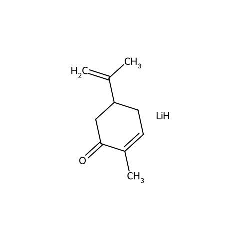 C=C(C)C1CC=C(C)C(=O)C1.[LiH]